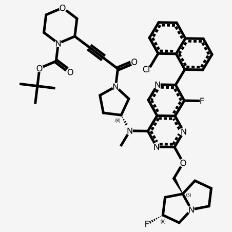 CN(c1nc(OC[C@@]23CCCN2C[C@H](F)C3)nc2c(F)c(-c3cccc4cccc(Cl)c34)ncc12)[C@@H]1CCN(C(=O)C#CC2COCCN2C(=O)OC(C)(C)C)C1